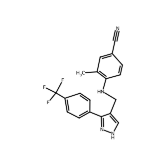 Cc1cc(C#N)ccc1NCc1c[nH]nc1-c1ccc(C(F)(F)F)cc1